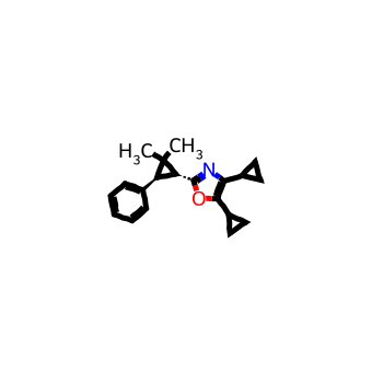 CC1(C)[C@H](c2ccccc2)[C@H]1c1nc(C2CC2)c(C2CC2)o1